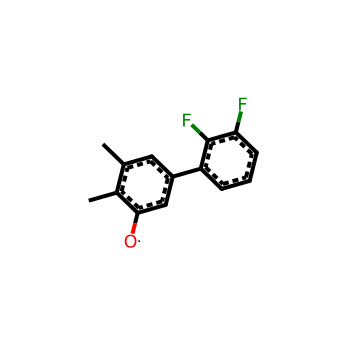 Cc1cc(-c2cccc(F)c2F)cc([O])c1C